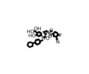 N#Cc1cc(S(=O)(=O)N2CC[C@@H]2C(=O)N(Cc2ccc(C3CCCCC3)cc2)c2ccc(C(O)O)c(O)c2)ccc1F